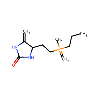 C=C1NC(=O)NC1CCP(=C)(C)CCC